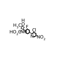 C[C@]1(O)C[C@@](NC(=O)O)(c2ccc(-c3ncc([N+](=O)[O-])cc3Cl)cc2F)C1